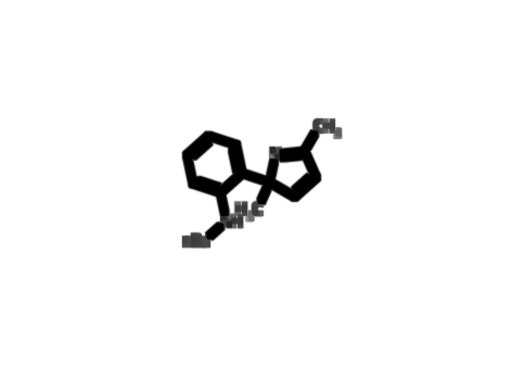 CCCCNc1ccccc1C1(C)C=CC(C)=N1